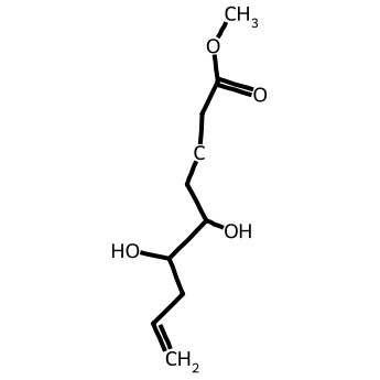 C=CCC(O)C(O)CCCC(=O)OC